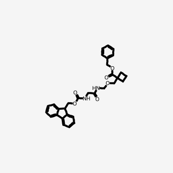 O=C(CNC(=O)OCC1c2ccccc2-c2ccccc21)NCOCC1(C(=O)OCc2ccccc2)CCC1